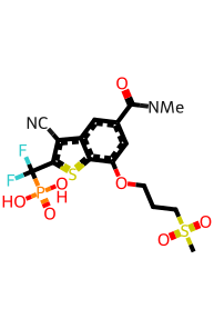 CNC(=O)c1cc(OCCCS(C)(=O)=O)c2sc(C(F)(F)P(=O)(O)O)c(C#N)c2c1